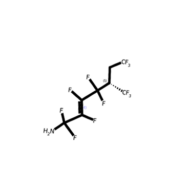 NC(F)(F)/C(F)=C(\F)C(F)(F)[C@H](CC(F)(F)F)C(F)(F)F